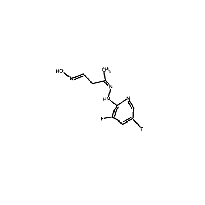 CC(CC=NO)=NNc1ncc(F)cc1F